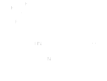 O=Cc1ccccc1-c1ccc(Nc2cccc(C(F)(F)F)c2)nc1